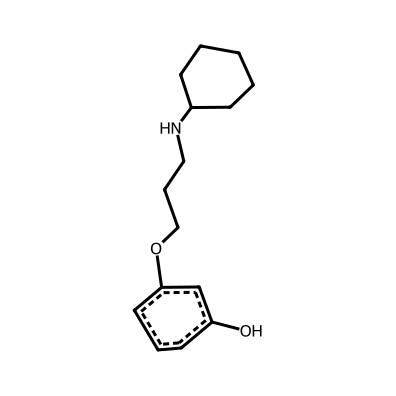 Oc1cccc(OCCCNC2CCCCC2)c1